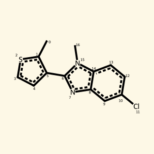 Cc1sccc1-c1nc2cc(Cl)ccc2n1C